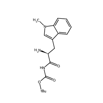 Cn1cc(C[C@H](N)C(=O)NC(=O)OC(C)(C)C)c2ccccc21